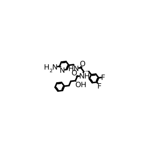 Nc1ccc(CNC(=O)[C@H](Cc2ccc(F)c(F)c2)NC(=O)[C@H](O)CCc2ccccc2)cn1